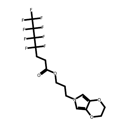 O=C(CCC(F)(F)C(F)(F)C(F)(F)C(F)(F)F)OCCCn1cc2c(c1)OCCO2